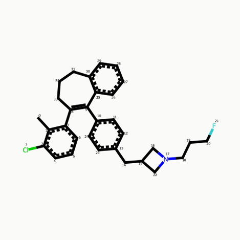 Cc1c(Cl)cccc1C1=C(c2ccc(CC3CN(CCCF)C3)cc2)c2ccccc2CCC1